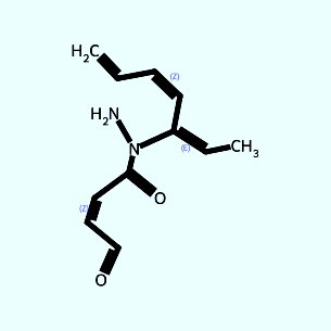 C=C/C=C\C(=C/C)N(N)C(=O)/C=C\C=O